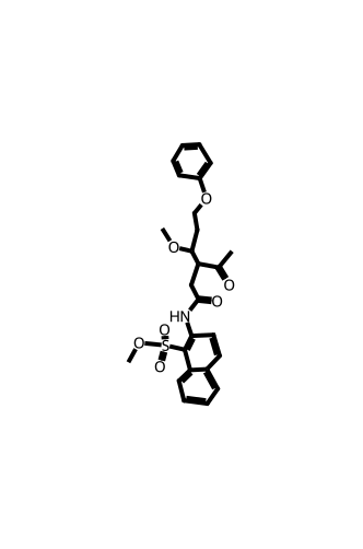 COC(CCOc1ccccc1)C(CC(=O)Nc1ccc2ccccc2c1S(=O)(=O)OC)C(C)=O